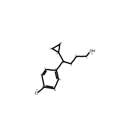 OCCCC(c1ccc(Cl)cc1)C1CC1